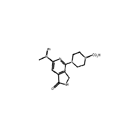 CC(C)N(C)c1cc2c(c(N3CCN(C(=O)O)CC3)n1)CNC2=O